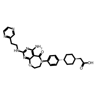 Nc1nc(NCCc2cnccn2)nc2c1C(=O)N(c1ccc([C@H]3CC[C@H](CC(=O)O)CC3)cc1)CCO2